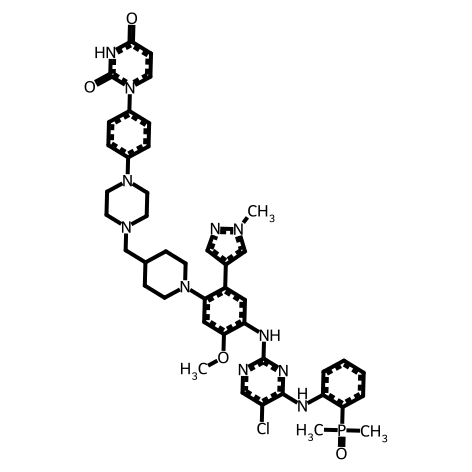 COc1cc(N2CCC(CN3CCN(c4ccc(-n5ccc(=O)[nH]c5=O)cc4)CC3)CC2)c(-c2cnn(C)c2)cc1Nc1ncc(Cl)c(Nc2ccccc2P(C)(C)=O)n1